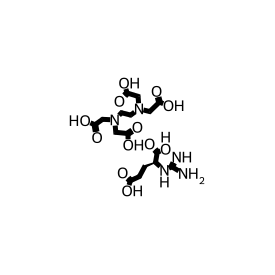 N=C(N)N[C@@H](CCC(=O)O)C(=O)O.O=C(O)CN(CCN(CC(=O)O)CC(=O)O)CC(=O)O